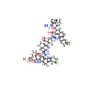 CCc1ccccc1C(NO)c1cc2ccc3c4cc(Cl)ccc4[nH]c3c2c(N=Nc2ccc3c4c(cccc24)C(=O)c2cc(N=Nc4c(O)c(C(ON)c5ccccc5CC)cc5ccc6c7cc(Cl)ccc7[nH]c6c45)ccc2-3)c1O